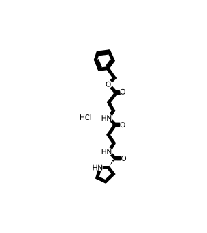 Cl.O=C(CCNC(=O)[C@@H]1CCCN1)NCCC(=O)OCc1ccccc1